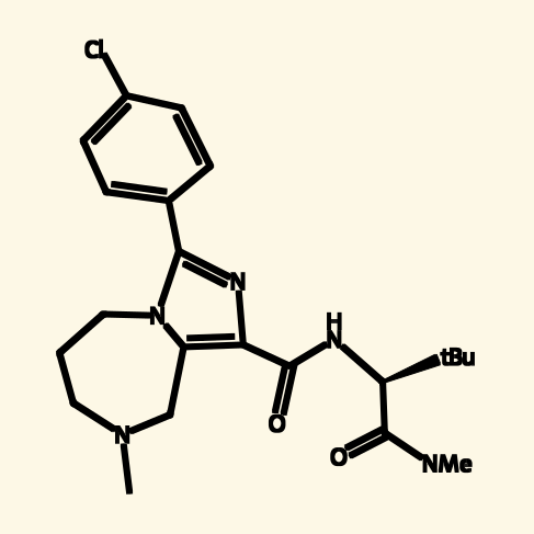 CNC(=O)[C@@H](NC(=O)c1nc(-c2ccc(Cl)cc2)n2c1CN(C)CCC2)C(C)(C)C